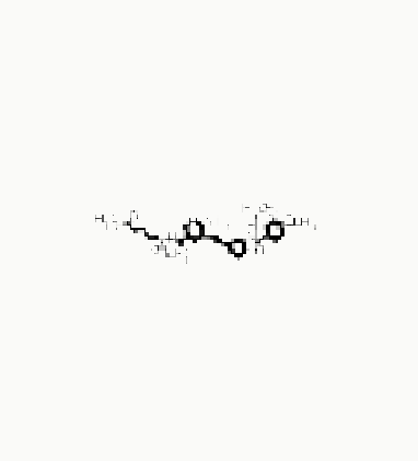 COC(=O)CCCC[S@](C)(=O)=NC(=O)c1cnc(N)c(C#Cc2cccc(NC(=O)c3ccc(OC)c(OC)c3)c2)c1